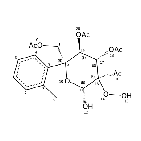 CC(=O)OC[C@@]1(c2ccccc2C)O[C@@H](O)[C@@](OO)(C(C)=O)[C@@H](OC(C)=O)[C@@H]1OC(C)=O